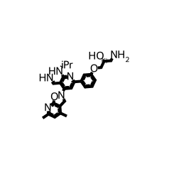 Cc1cc(C)c2c(n1)ON(c1cc(-c3cccc(OC[C@@H](O)CN)c3)nc(NC(C)C)c1C=N)C2